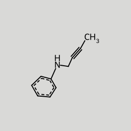 CC#CCNc1ccccc1